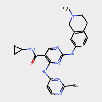 CN1CCc2ccc(Nc3ncc(C(=O)NC4CC4)c(Nc4ccnc(C(C)(C)C)n4)n3)cc2C1